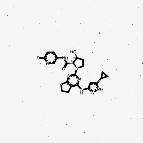 O=C(Nc1ccc(F)nc1)[C@H]1[C@@H](O)CCN1c1nc2c(c(Nc3cc(C4CC4)[nH]n3)n1)CCC2